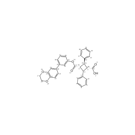 O=C(O)[C@@H]1C(c2ccccc2)[C@H](C(=O)Oc2cccc(-c3ccc4c(c3)OCCO4)c2)[C@H]1c1ccccc1